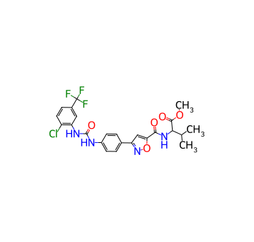 COC(=O)C(NC(=O)c1cc(-c2ccc(NC(=O)Nc3cc(C(F)(F)F)ccc3Cl)cc2)no1)C(C)C